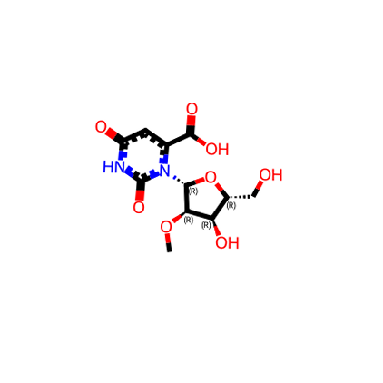 CO[C@@H]1[C@H](O)[C@@H](CO)O[C@H]1n1c(C(=O)O)cc(=O)[nH]c1=O